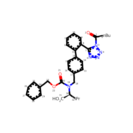 CCCCC(=O)n1nnnc1-c1ccccc1-c1ccc(CN(C(=O)OCc2ccccc2)[C@H](C(=O)O)C(C)C)cc1